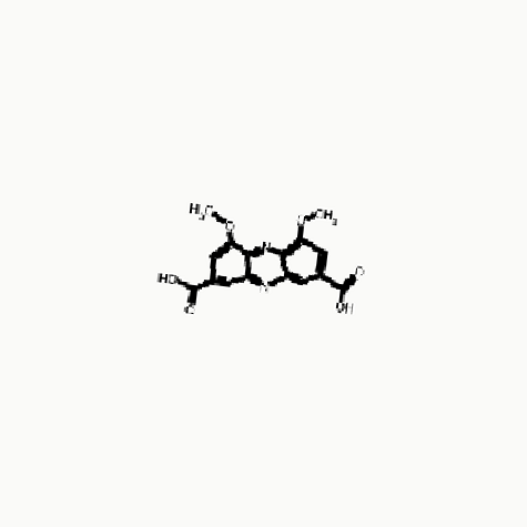 COc1cc(C(=O)O)cc2nc3cc(C(=O)O)cc(OC)c3nc12